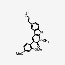 CCON=Cc1ccc2[nH]c3c(cc(-c4ccc(OC)cc4OC)c(=O)n3C)c2c1